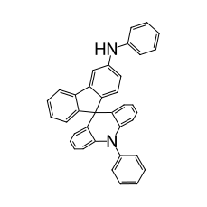 c1ccc(Nc2ccc3c(c2)-c2ccccc2C32c3ccccc3N(c3ccccc3)c3ccccc32)cc1